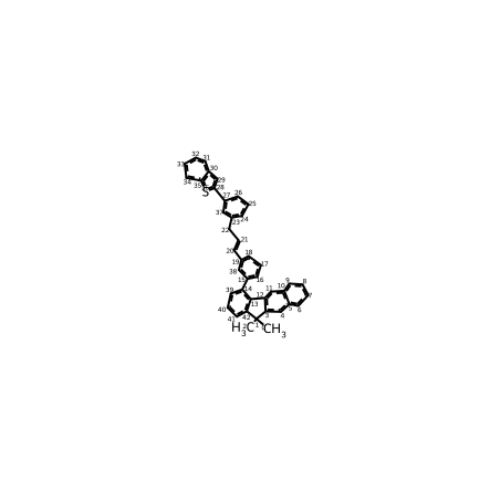 CC1(C)c2cc3ccccc3cc2-c2c(-c3cccc(/C=C/Cc4cccc(-c5cc6ccccc6s5)c4)c3)cccc21